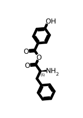 N[C@@H](Cc1ccccc1)C(=O)OC(=O)c1ccc(O)cc1